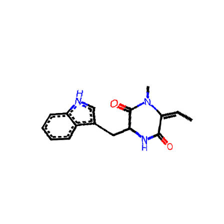 CC=C1C(=O)NC(Cc2c[nH]c3ccccc23)C(=O)N1C